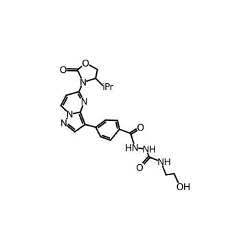 CC(C)C1COC(=O)N1c1ccn2ncc(-c3ccc(C(=O)NNC(=O)NCCO)cc3)c2n1